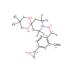 CCC1(CC)COC2(CC(C)(C)N(OC(C)c3ccc(C4CO4)cc3OC)C(C)(C)C2)OC1